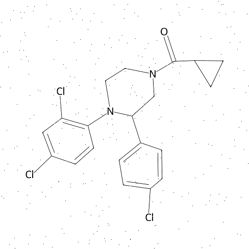 O=C(C1CC1)N1CCN(c2ccc(Cl)cc2Cl)C(c2ccc(Cl)cc2)C1